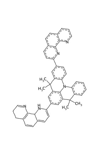 CC1(C)c2ccccc2N2c3ccc(-c4ccc5ccc6cccnc6c5n4)cc3C(C)(C)c3cc(C4=CC=C5C=CC6=C(N=CCC6)C5N4)cc1c32